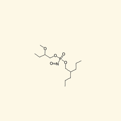 CCCC(CCC)COP(=O)(N=O)OCC(CC)OC